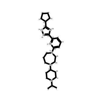 CC(C)N1CCC(N2CCCN(c3cccc(-c4noc(C5CCCC5)n4)n3)CC2)CC1